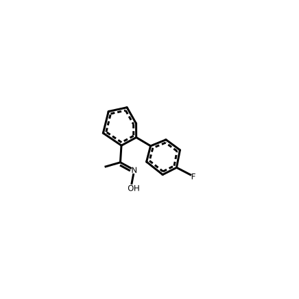 CC(=NO)c1ccccc1-c1ccc(F)cc1